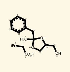 CC(C)CC(=O)O.CC1(Cc2ccccc2)OCC(CO)O1